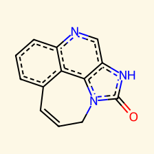 O=c1[nH]c2cnc3cccc4c3c2n1CC=C4